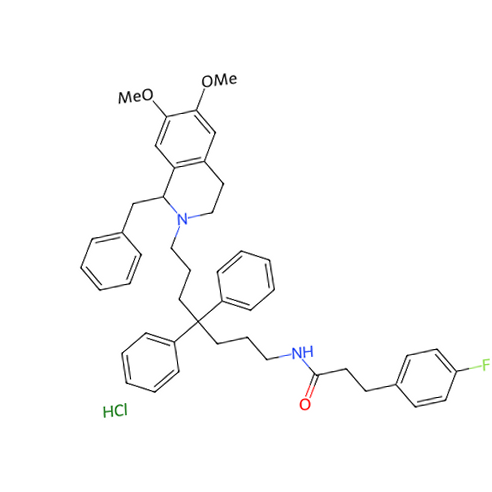 COc1cc2c(cc1OC)C(Cc1ccccc1)N(CCCC(CCCNC(=O)CCc1ccc(F)cc1)(c1ccccc1)c1ccccc1)CC2.Cl